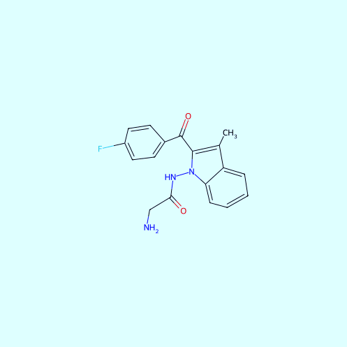 Cc1c(C(=O)c2ccc(F)cc2)n(NC(=O)CN)c2ccccc12